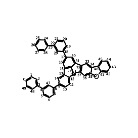 c1ccc(-c2cccc(-c3ccc4c(c3)c3cc(-c5cccc(-c6ccccc6)c5)cc5c6cc7c(cc6n4c35)oc3ccccc37)c2)cc1